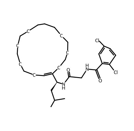 CC(C)C[C@H](NC(=O)CNC(=O)c1cc(Cl)ccc1Cl)/C1=C/CCCCCCCCCCCCCCC1